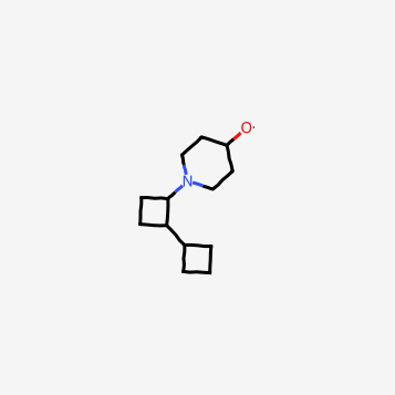 [O]C1CCN(C2CCC2C2CCC2)CC1